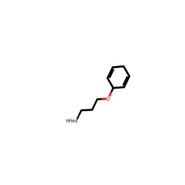 CCCCCCCCCOC1C=CCC=C1